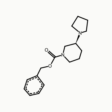 O=C(OCc1ccccc1)N1CCC[C@H](N2CCCC2)C1